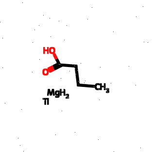 CCCC(=O)O.[MgH2].[Ti]